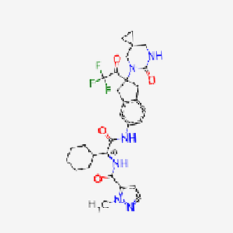 Cn1nccc1C(=O)N[C@H](C(=O)Nc1ccc2c(c1)CC(C(=O)C(F)(F)F)(N1CC3(CC3)CNC1=O)C2)C1CCCCC1